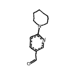 O=Cc1ccc(N2CCCCC2)nc1